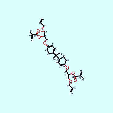 C=CCOCC(COC1=CC=C(C(C)(C)C2=CC=C(OCC(COCC=C)OC(=O)C(=C)C)CC2)CC1)OC(=O)C(=C)C